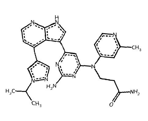 Cc1cc(N(CCC(N)=O)c2cc(-c3c[nH]c4nccc(-c5cnn(C(C)C)c5)c34)nc(N)n2)ccn1